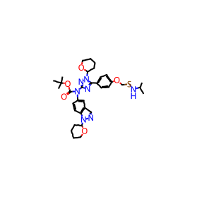 CC(C)NSCOc1ccc(-c2nc(N(C(=O)OC(C)(C)C)c3ccc4c(cnn4C4CCCCO4)c3)nn2C2CCCCO2)cc1